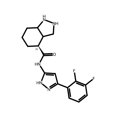 O=C(Nc1cc(-c2cccc(F)c2F)n[nH]1)[C@H]1CCCC2NNCC21